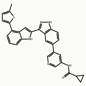 Cc1ccc(-c2cccc3[nH]c(-c4n[nH]c5ccc(-c6cncc(NC(=O)C7CC7)c6)cc45)cc23)s1